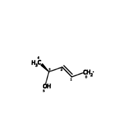 [CH2]C=C[C@H](C)O